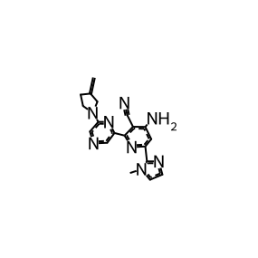 C=C1CCN(c2cncc(-c3nc(-c4nccn4C)cc(N)c3C#N)n2)C1